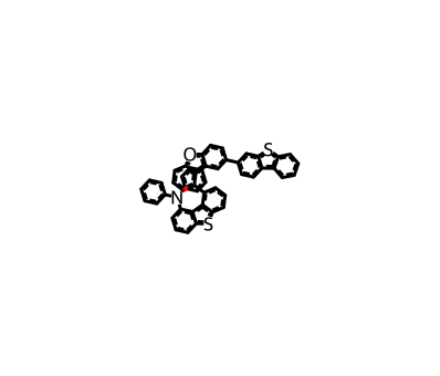 c1ccc(N(c2ccccc2)c2cccc3sc4cccc(-c5cccc6oc7ccc(-c8ccc9c(c8)sc8ccccc89)cc7c56)c4c23)cc1